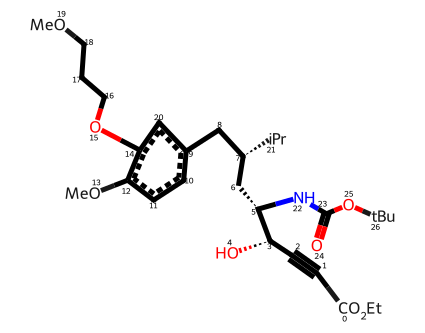 CCOC(=O)C#C[C@H](O)[C@H](C[C@H](Cc1ccc(OC)c(OCCCOC)c1)C(C)C)NC(=O)OC(C)(C)C